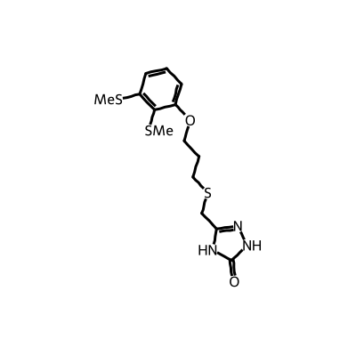 CSc1cccc(OCCCSCc2n[nH]c(=O)[nH]2)c1SC